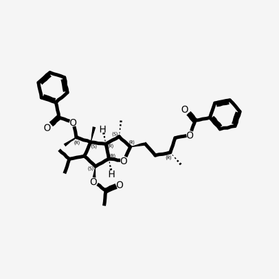 CC(=O)O[C@H]1C(C(C)C)[C@](C)([C@@H](C)OC(=O)c2ccccc2)[C@H]2[C@H](C)[C@@H](CC[C@@H](C)COC(=O)c3ccccc3)O[C@H]21